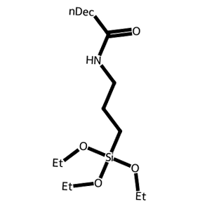 CCCCCCC[CH]CCC(=O)NCCC[Si](OCC)(OCC)OCC